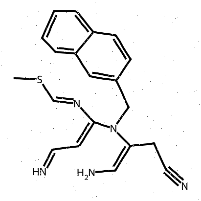 CS/C=N/C(=C\C=N)N(Cc1ccc2ccccc2c1)/C(=C\N)CC#N